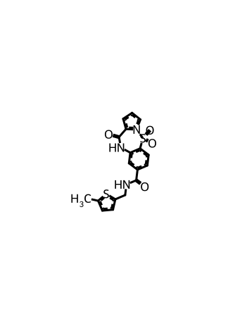 Cc1ccc(CNC(=O)c2ccc3c(c2)NC(=O)c2cccn2S3(=O)=O)s1